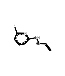 C=CNNc1cccc(F)n1